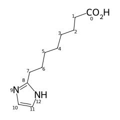 O=C(O)CCCCCCCc1ncc[nH]1